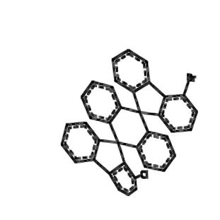 Clc1cccc2c1C1(c3ccccc3-2)c2ccccc2C2(c3ccccc3-c3c(Br)cccc32)c2ccccc21